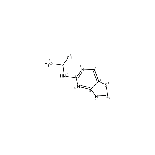 CC(C)Nc1ncc2s[c]nc2n1